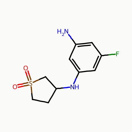 Nc1cc(F)cc(NC2CCS(=O)(=O)C2)c1